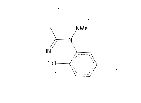 CNN(C(C)=N)c1ccccc1Cl